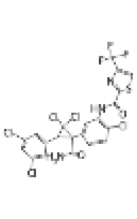 NC(=O)C1(c2ccc(Cl)c(NC(=O)c3nc(C(F)(F)F)cs3)c2)C(c2cc(Cl)cc(Cl)c2)C1(Cl)Cl